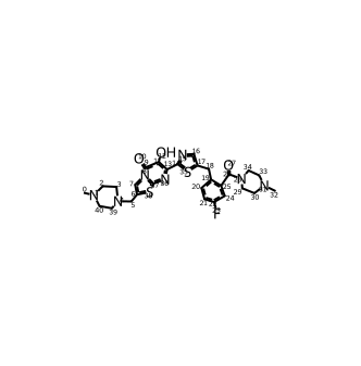 CN1CCN(Cc2cn3c(=O)c(O)c(-c4ncc(Cc5ccc(F)cc5C(=O)N5CCN(C)CC5)s4)nc3s2)CC1